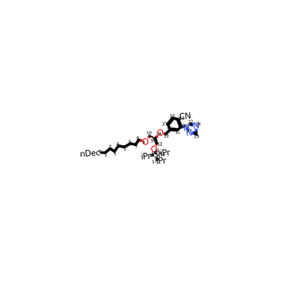 CCCCCCCCCCCCCCCCCCOC[C@H](CO[Si](C(C)C)(C(C)C)C(C)C)OCc1ccc(C#N)c(-n2cncn2)c1